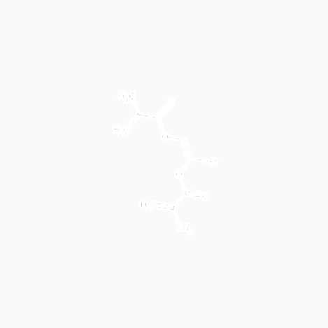 C=C(C)C(=O)O/C=C(/CC)OC(=O)C(=C)C